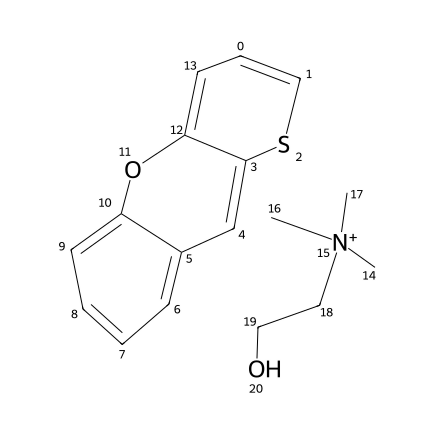 C1=CSC2=Cc3ccccc3OC2=C1.C[N+](C)(C)CCO